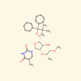 COC[C@H](C)O[C@H]1C(O)[C@@H](CO[Si](c2ccccc2)(c2ccccc2)C(C)(C)C)O[C@H]1n1cc(C)c(=O)[nH]c1=O